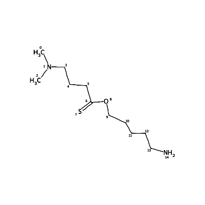 CN(C)CCCC(=S)OCCCCCN